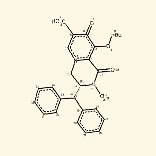 CCCCOc1c2n(cc(C(=O)O)c1=O)C[C@@H](C(c1ccccc1)c1ccccc1)N(C)C2=O